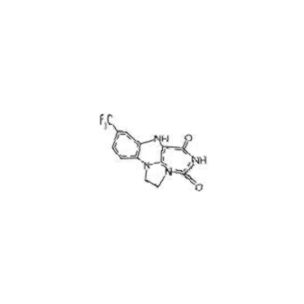 O=c1[nH]c(=O)n2c3c1Nc1cc(C(F)(F)F)ccc1N3CC2